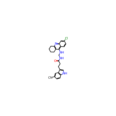 [C-]#[N+]c1ccc2[nH]cc(CCC(=O)NCNc3c4c(nc5cc(Cl)ccc35)CCCC4)c2c1